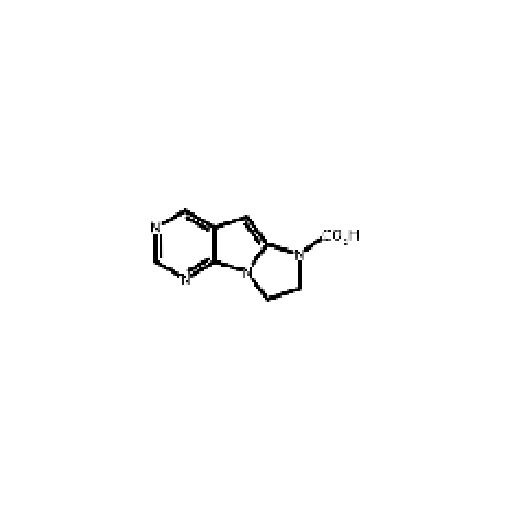 O=C(O)N1CCn2c1cc1cncnc12